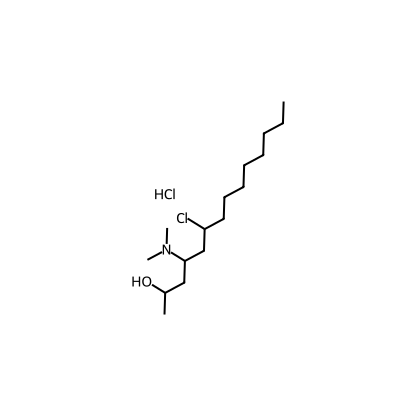 CCCCCCCCC(Cl)CC(CC(C)O)N(C)C.Cl